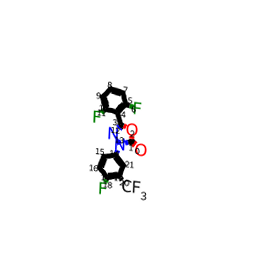 O=c1oc(-c2c(F)cccc2F)nn1-c1ccc(F)c(C(F)(F)F)c1